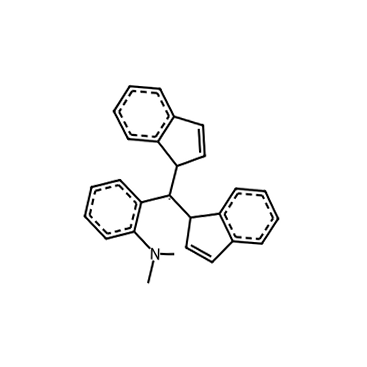 CN(C)c1ccccc1[C](C1C=Cc2ccccc21)C1C=Cc2ccccc21